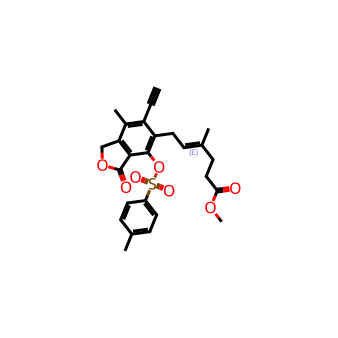 C#Cc1c(C)c2c(c(OS(=O)(=O)c3ccc(C)cc3)c1C/C=C(\C)CCC(=O)OC)C(=O)OC2